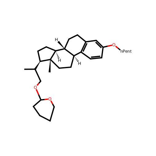 CCCCCOc1ccc2c(c1)CC[C@@H]1[C@@H]2CC[C@]2(C)[C@@H](C(C)COC3CCCCO3)CC[C@@H]12